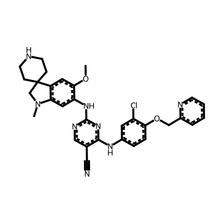 COc1cc2c(cc1Nc1ncc(C#N)c(Nc3ccc(OCc4ccccn4)c(Cl)c3)n1)N(C)CC21CCNCC1